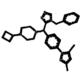 Cc1cc(C)n(-c2ccc(C(c3nncn3Cc3ccccc3)N3CCN(C4CCC4)CC3)cc2)n1